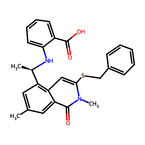 Cc1cc([C@@H](C)Nc2ccccc2C(=O)O)c2cc(SCc3ccccc3)n(C)c(=O)c2c1